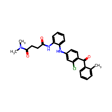 Cc1ccccc1C(=O)c1ccc(Nc2ccccc2NC(=O)CCC(=O)N(C)C)cc1Cl